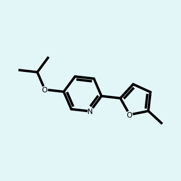 Cc1ccc(-c2ccc(OC(C)C)cn2)o1